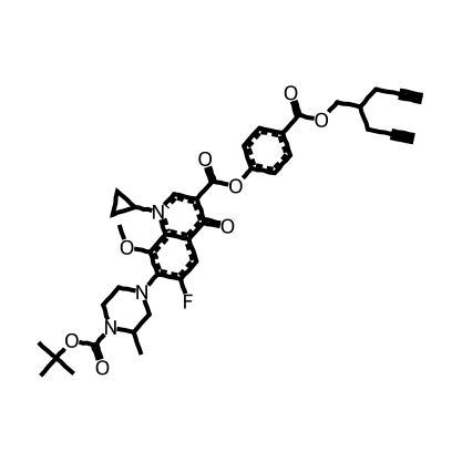 C#CCC(CC#C)COC(=O)c1ccc(OC(=O)c2cn(C3CC3)c3c(OC)c(N4CCN(C(=O)OC(C)(C)C)C(C)C4)c(F)cc3c2=O)cc1